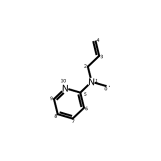 [CH2]N(CC=C)c1ccccn1